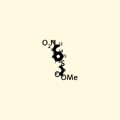 COC(=O)CCSc1ccc(/C=C(\C)[N+](=O)[O-])cc1